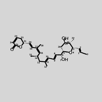 C/C=C/[C@@H]1O[C@H]([C@H](O)/C=C/C=C(\C)C[C@@H](C)/C=C(C)\C=C\[C@H]2CC=CC(=O)O2)C[C@@H](O)[C@@H]1C